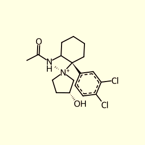 CC(=O)NC1CCCC[C@]1(c1ccc(Cl)c(Cl)c1)[N@+]1(C)CC[C@@H](O)C1